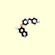 Fc1cc2cnccc2cc1OC1CCN(CC2CCNCC2)CC1